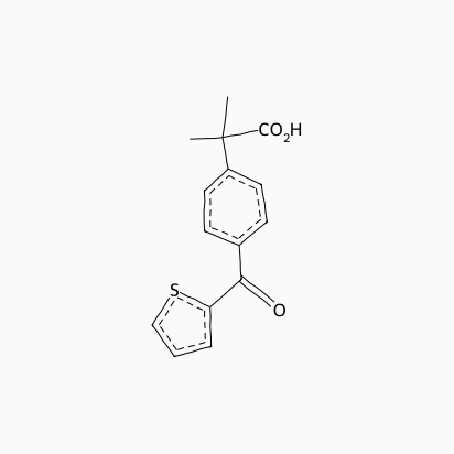 CC(C)(C(=O)O)c1ccc(C(=O)c2cccs2)cc1